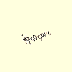 Cc1cn2cc(-c3ccc4cc(N5C[C@@H](C)N[C@H](C)C5)cnc4n3)cc(F)c2n1